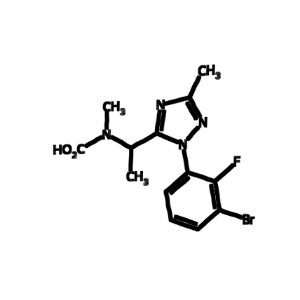 Cc1nc(C(C)N(C)C(=O)O)n(-c2cccc(Br)c2F)n1